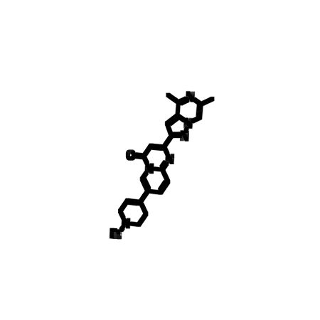 CCN1CC=C(c2ccc3nc(-c4cc5c(C)nc(C)cn5n4)cc(=O)n3c2)CC1